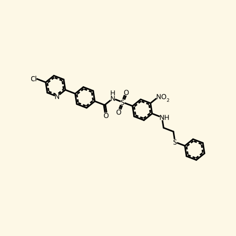 O=C(NS(=O)(=O)c1ccc(NCCSc2ccccc2)c([N+](=O)[O-])c1)c1ccc(-c2ccc(Cl)cn2)cc1